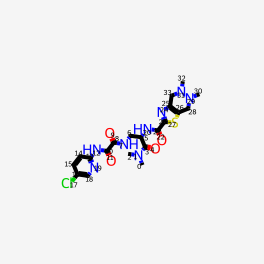 CN(C)C(=O)C(CNC(=O)C(=O)Nc1ccc(Cl)cn1)NC(=O)c1nc2c(s1)CN(C)N(C)C2